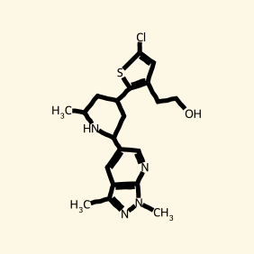 Cc1nn(C)c2ncc(C3CC(c4sc(Cl)cc4CCO)CC(C)N3)cc12